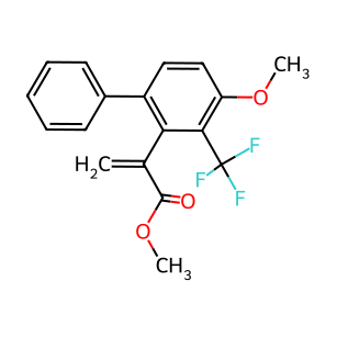 C=C(C(=O)OC)c1c(-c2ccccc2)ccc(OC)c1C(F)(F)F